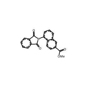 COC(=O)c1ccc2c(N3C(=O)c4ccccc4C3=O)cccc2c1